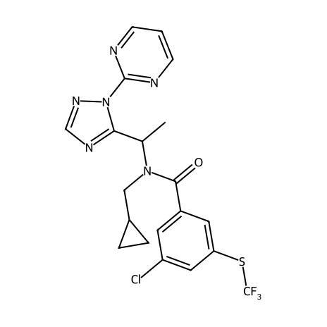 CC(c1ncnn1-c1ncccn1)N(CC1CC1)C(=O)c1cc(Cl)cc(SC(F)(F)F)c1